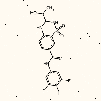 CC(O)C1Nc2ccc(C(=O)Nc3cc(F)c(F)c(F)c3)cc2S(=O)(=O)N1